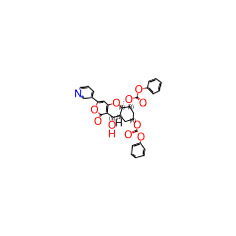 C[C@@]12Oc3cc(-c4cccnc4)oc(=O)c3[C@@H](O)[C@@H]1C[C@@H](OC(=O)Oc1ccccc1)C[C@H]2OC(=O)Oc1ccccc1